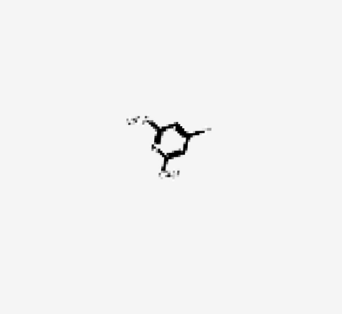 CCOC(=O)c1cc(Br)cc(C(=O)O)n1